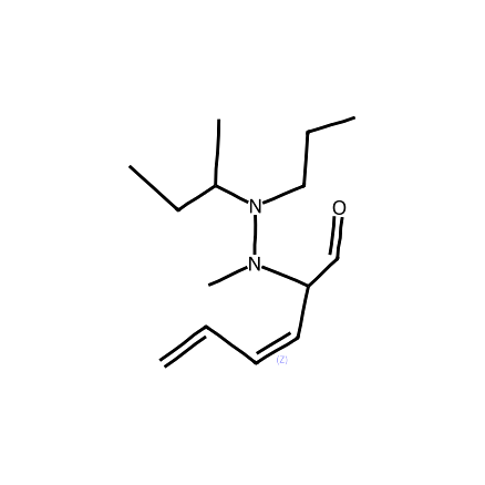 C=C/C=C\C(C=O)N(C)N(CCC)C(C)CC